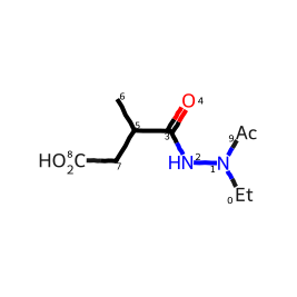 CCN(NC(=O)C(C)CC(=O)O)C(C)=O